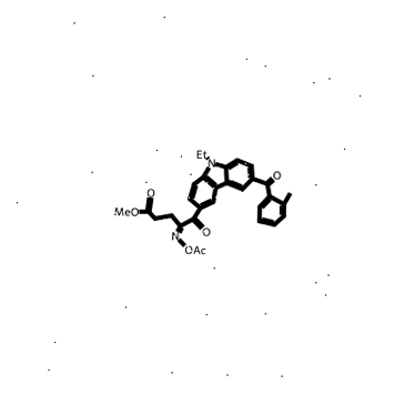 CCn1c2ccc(C(=O)/C(CCC(=O)OC)=N\OC(C)=O)cc2c2cc(C(=O)c3ccccc3C)ccc21